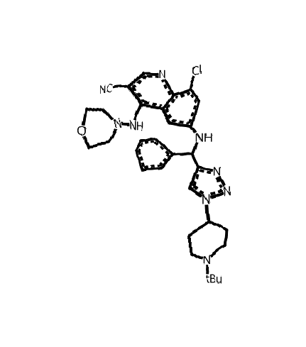 CC(C)(C)N1CCC(n2cc(C(Nc3cc(Cl)c4ncc(C#N)c(NN5CCOCC5)c4c3)c3ccccc3)nn2)CC1